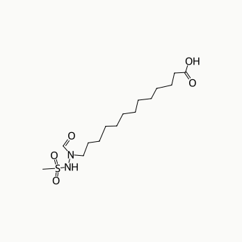 CS(=O)(=O)NN(C=O)CCCCCCCCCCCCC(=O)O